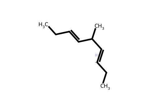 CC/[C]=C/C(C)C=CCC